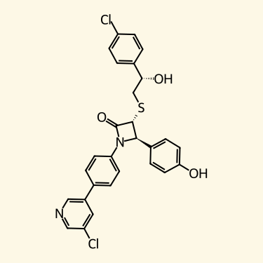 O=C1[C@H](SC[C@@H](O)c2ccc(Cl)cc2)[C@@H](c2ccc(O)cc2)N1c1ccc(-c2cncc(Cl)c2)cc1